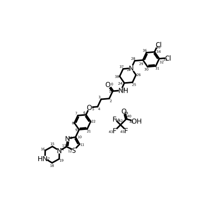 O=C(CCCOc1ccc(-c2csc(N3CCNCC3)n2)cc1)NC1CCN(Cc2ccc(Cl)c(Cl)c2)CC1.O=C(O)C(F)(F)F